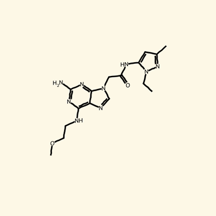 CCn1nc(C)cc1NC(=O)Cn1cnc2c(NCCOC)nc(N)nc21